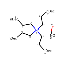 CCCCCCCCCCCC[N+](CCCCCCCCCCCC)(CCCCCCCCCCCC)CCCCCCCCCCCC.O=[NH+][O-]